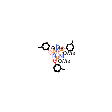 COP1(Oc2cccc(C)c2)=N[PH](OC)(Oc2cccc(C)c2)N[PH](OC)(Oc2cccc(C)c2)N1